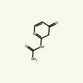 NC(=O)NC1=NC=CC(=O)C1